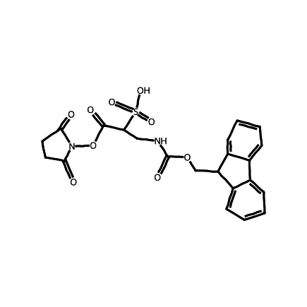 O=C(NCC(C(=O)ON1C(=O)CCC1=O)S(=O)(=O)O)OCC1c2ccccc2-c2ccccc21